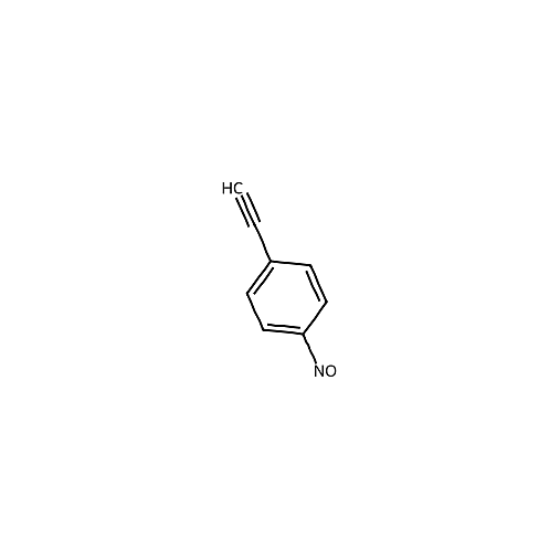 C#Cc1ccc(N=O)cc1